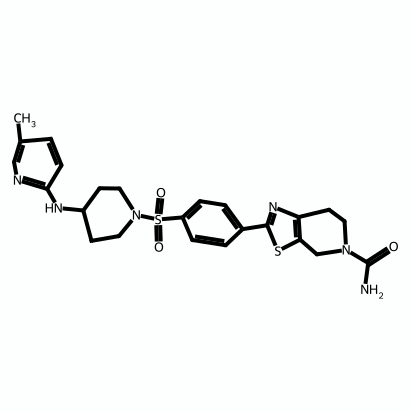 Cc1ccc(NC2CCN(S(=O)(=O)c3ccc(-c4nc5c(s4)CN(C(N)=O)CC5)cc3)CC2)nc1